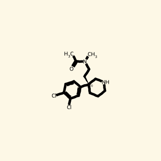 CC(=O)N(C)CC[C@]1(c2ccc(Cl)c(Cl)c2)CCCNC1